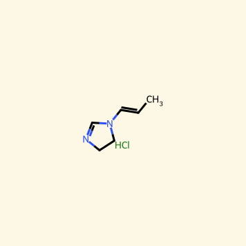 CC=CN1C=NCC1.Cl